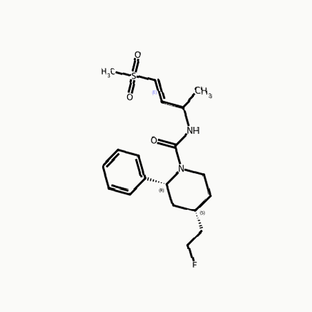 CC(/C=C/S(C)(=O)=O)NC(=O)N1CC[C@H](CCF)C[C@@H]1c1ccccc1